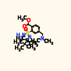 COC(=O)c1ccc(CN(C)C)cc1S(N)(=O)=N[Si](C)(C)C(C)(C)C